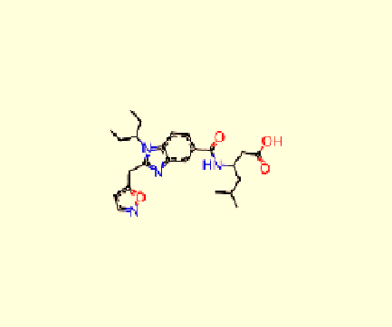 CCC(CC)n1c(Cc2ccno2)nc2cc(C(=O)NC(CC(=O)O)CC(C)C)ccc21